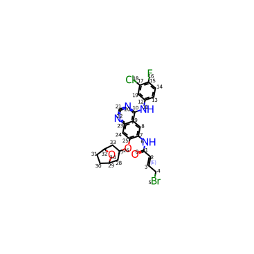 O=C(/C=C/CBr)Nc1cc2c(Nc3ccc(F)c(Cl)c3)ncnc2cc1OC1CC2CCC(C1)O2